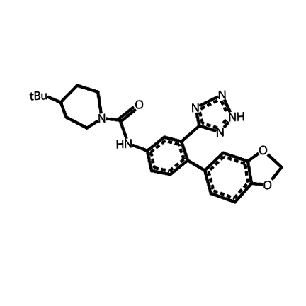 CC(C)(C)C1CCN(C(=O)Nc2ccc(-c3ccc4c(c3)OCO4)c(-c3nn[nH]n3)c2)CC1